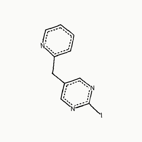 Ic1ncc(Cc2ccccn2)cn1